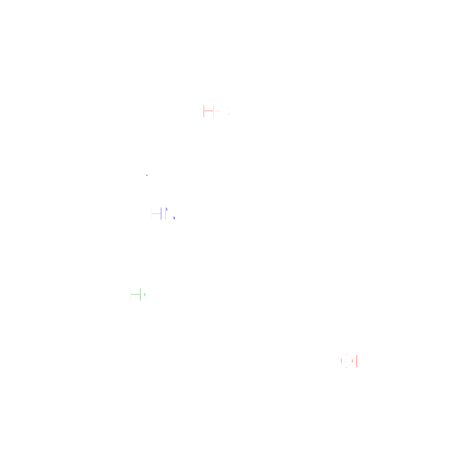 CC(C)(C)NC(CO)c1ccc(O)cc1.Cl